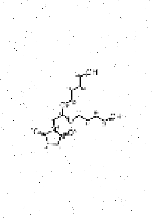 O=C1C=CC(=O)N1CC(OCCCCO)OCCCCO